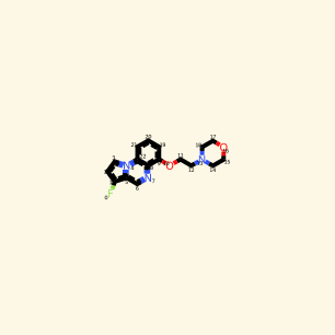 Fc1ccn2c1cnc1c(OCCN3CCOCC3)cccc12